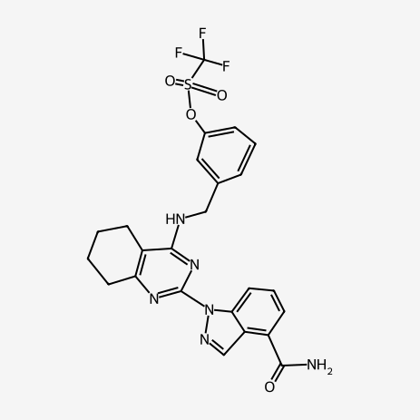 NC(=O)c1cccc2c1cnn2-c1nc2c(c(NCc3cccc(OS(=O)(=O)C(F)(F)F)c3)n1)CCCC2